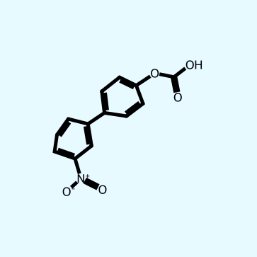 O=C(O)Oc1ccc(-c2cccc([N+](=O)[O-])c2)cc1